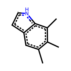 Cc1cc2c[c][nH]c2c(C)c1C